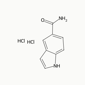 Cl.Cl.NC(=O)c1ccc2[nH]ccc2c1